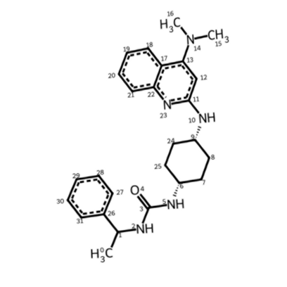 CC(NC(=O)N[C@H]1CC[C@@H](Nc2cc(N(C)C)c3ccccc3n2)CC1)c1ccccc1